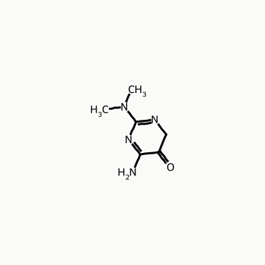 CN(C)C1=NCC(=O)C(N)=N1